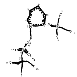 F[B-](F)(F)F.F[n+]1ccccc1.O=S(=O)(O)C(F)(F)F